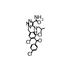 CC(C)CNc1c(C(N)=O)nnn1Cc1cc(Cl)c(C(=O)c2ccc(Cl)cc2)c(Cl)c1